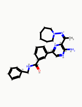 CC(=NN1CCCCCC1)c1nc(-c2cccc(C(=O)NCc3ccccc3)c2)cnc1N